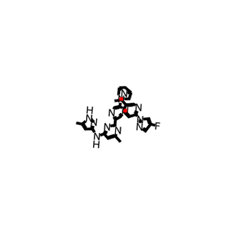 Cc1cc(Nc2cc(C)[nH]n2)nc(-c2cnc(N3CC4CC(C3)N4C(C)c3ccc(-n4cc(F)cn4)nc3)cn2)n1